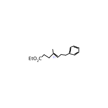 CCOC(=O)CC/C(C)=C/CCc1ccccc1